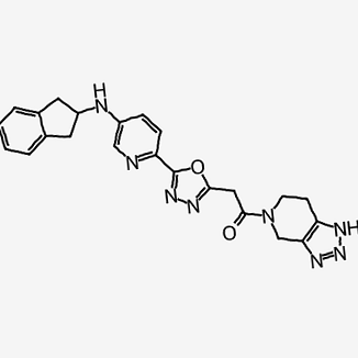 O=C(Cc1nnc(-c2ccc(NC3Cc4ccccc4C3)cn2)o1)N1CCc2[nH]nnc2C1